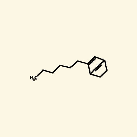 CCCCCCC1=CC2C=CC1CC2